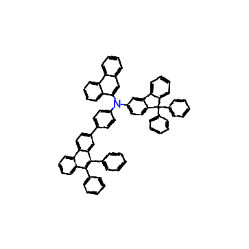 c1ccc(-c2c(-c3ccccc3)c3cc(-c4ccc(N(c5ccc6c(c5)-c5ccccc5C6(c5ccccc5)c5ccccc5)c5cc6ccccc6c6ccccc56)cc4)ccc3c3ccccc23)cc1